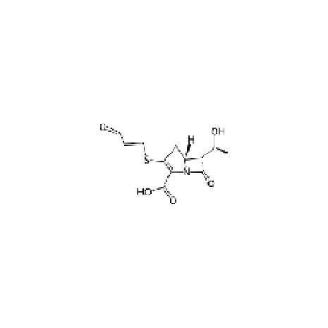 C[C@H](O)[C@@H]1C(=O)N2C(C(=O)O)=C(SC=CC=O)C[C@H]12